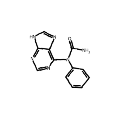 NC(=O)N(c1ccccc1)c1ncnc2[nH]cnc12